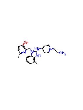 Cc1ccc(O)c(CN2c3cccc(C)c3NC2NC2CCN(CCN)CC2)n1